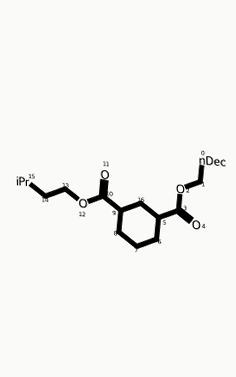 CCCCCCCCCCCOC(=O)C1CCCC(C(=O)OCCC(C)C)C1